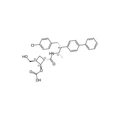 C[C@H](NC(=O)[C@H]1C[C@H](CO)[C@@H]1OC(=O)O)[C@H](Cc1ccc(Cl)cc1)c1ccc(-c2ccccc2)cc1